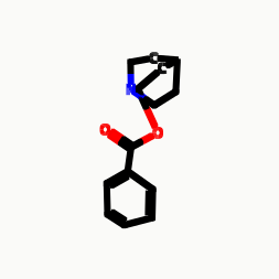 O=C(OC1CC2CCN1CC2)c1ccccc1